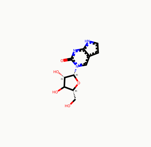 O=c1nc2[nH]ccc2cn1[C@@H]1O[C@H](CO)C(O)[C@@H]1O